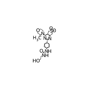 C[C@H]1COCCN1c1nc(-c2ccc(NC(=O)NCCO)cc2)nc2c1CS(=O)(=O)C2